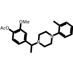 COc1cc(C(C)N2CCN(c3ccccc3C)CC2)ccc1OC(C)=O